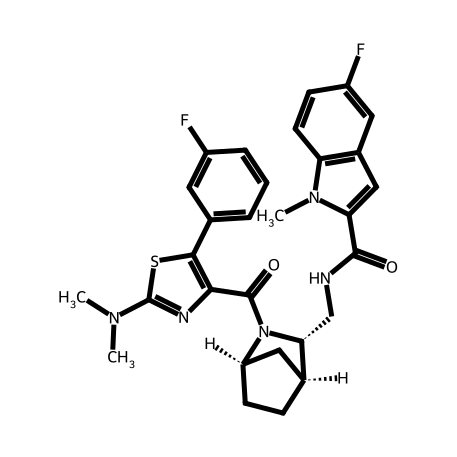 CN(C)c1nc(C(=O)N2[C@@H]3CC[C@@H](C3)[C@H]2CNC(=O)c2cc3cc(F)ccc3n2C)c(-c2cccc(F)c2)s1